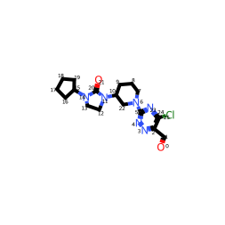 O=Cc1nnc(N2CCCC(N3CCN(C4CCCC4)C3=O)C2)nc1Cl